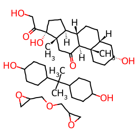 C(OCC1CO1)C1CO1.CC(C)(C1CCC(O)CC1)C1CCC(O)CC1.C[C@]12CC[C@@H](O)C[C@H]1CC[C@@H]1[C@@H]2C(=O)C[C@@]2(C)[C@H]1CC[C@]2(O)C(=O)CO